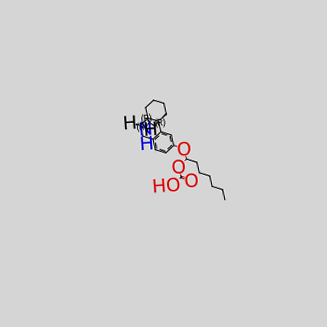 CCCCCCC(OC(=O)O)Oc1ccc2c(c1)[C@@]13CCCC[C@H]1[C@@H](C2)NCC3